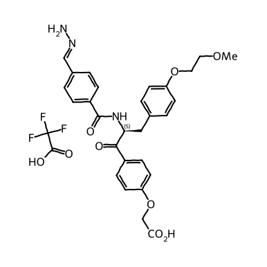 COCCOc1ccc(C[C@H](NC(=O)c2ccc(C=NN)cc2)C(=O)c2ccc(OCC(=O)O)cc2)cc1.O=C(O)C(F)(F)F